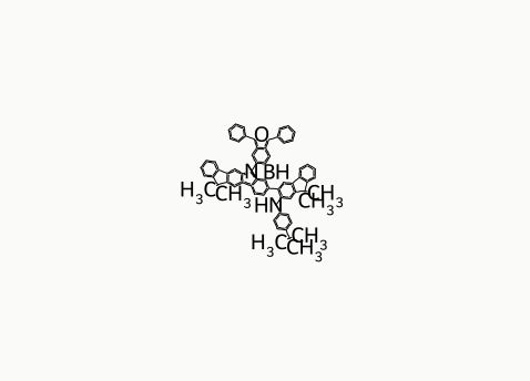 CC(C)(C)c1ccc(Nc2cc3c(cc2-c2ccc4c5cc6c(cc5n5c4c2Bc2cc4c(-c7ccccc7)oc(-c7ccccc7)c4cc2-5)-c2ccccc2C6(C)C)-c2ccccc2C3(C)C)cc1